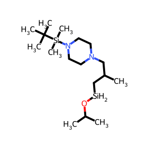 CC(C[SiH2]OC(C)C)CN1CCN([Si](C)(C)C(C)(C)C)CC1